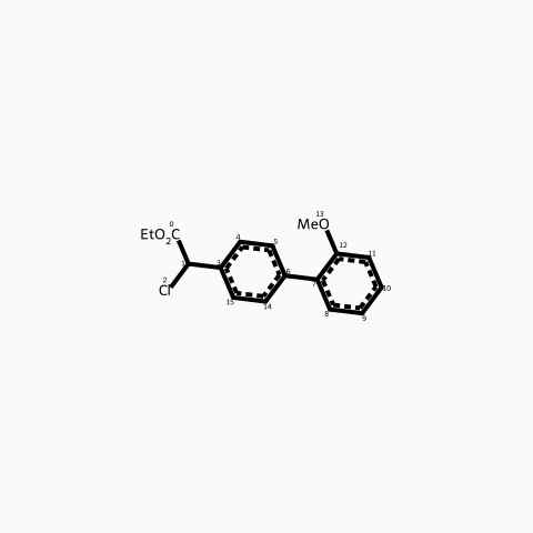 CCOC(=O)C(Cl)c1ccc(-c2ccccc2OC)cc1